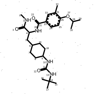 CNC(=O)C(CC1CCC(NC(=O)NC(C)(C)C)CC1)NC(=O)c1ccc(OC(C)C)c(C)c1